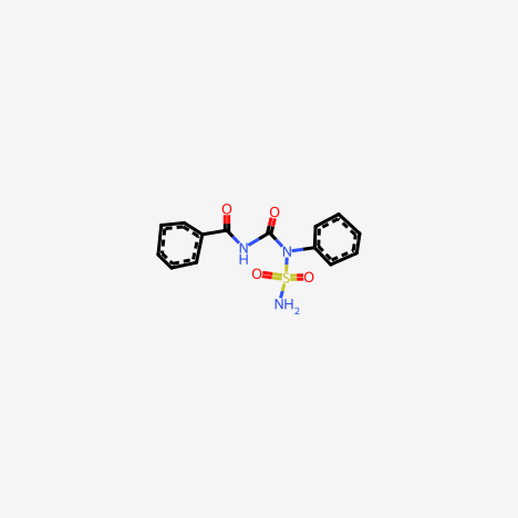 NS(=O)(=O)N(C(=O)NC(=O)c1ccccc1)c1ccccc1